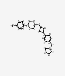 Fc1cnc(N2CCN(CC3CC(c4ccc(CN5CCCC5)cc4)C3)CC2)nc1